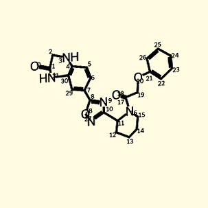 O=C1CNc2ccc(-c3nc(C4CCCCN4C(=O)COc4ccccc4)no3)cc2N1